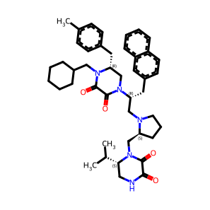 Cc1ccc(C[C@@H]2CN([C@H](Cc3ccc4ccccc4c3)CN3CCC[C@H]3CN3C(=O)C(=O)NC[C@@H]3C(C)C)C(=O)C(=O)N2CC2CCCCC2)cc1